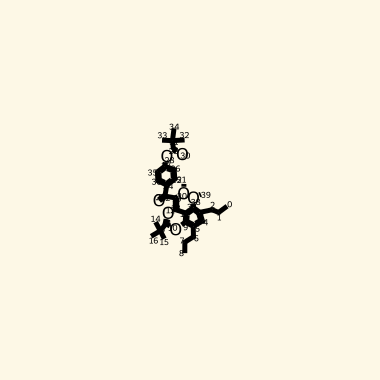 CCCc1cc(CCC)c(OC(=O)C(C)(C)C)c(C=C(OC)C(=O)c2ccc(OC(=O)C(C)(C)C)cc2)c1OC